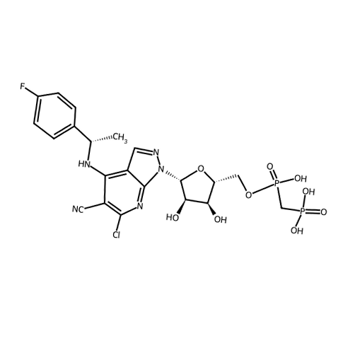 C[C@H](Nc1c(C#N)c(Cl)nc2c1cnn2[C@@H]1O[C@H](COP(=O)(O)CP(=O)(O)O)[C@@H](O)[C@H]1O)c1ccc(F)cc1